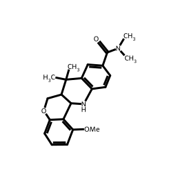 COc1cccc2c1C1Nc3ccc(C(=O)N(C)C)cc3C(C)(C)C1CO2